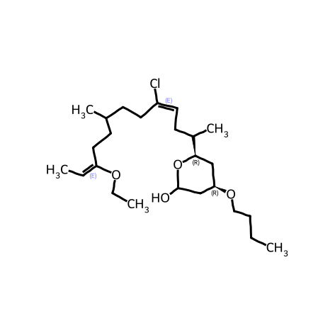 C/C=C(\CCC(C)CC/C(Cl)=C\CC(C)[C@H]1C[C@@H](OCCCC)CC(O)O1)OCC